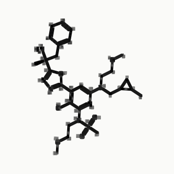 COCCN(CC1CC1C)c1cc(-c2nnc([C@](C)(N)Cc3ccccc3)o2)c(Cl)c(N(CCOC)S(C)(=O)=O)n1